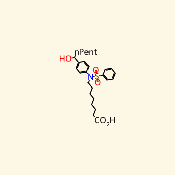 CCCCCC(O)c1ccc(N(CCCCCCCC(=O)O)S(=O)(=O)c2ccccc2)cc1